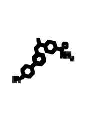 CC(C)C1CCC(c2cccc(CC(C)C3CCC(C(N)=O)CC3)c2)CC1